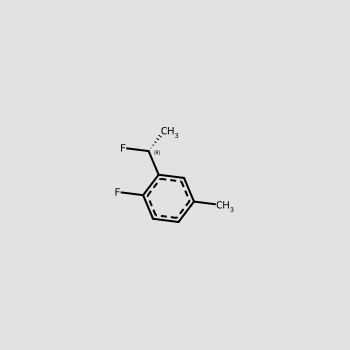 Cc1ccc(F)c([C@@H](C)F)c1